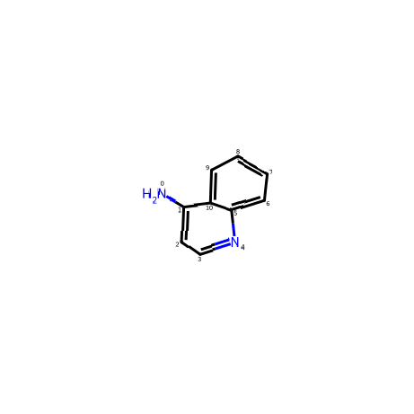 Nc1ccnc2cc[c]cc12